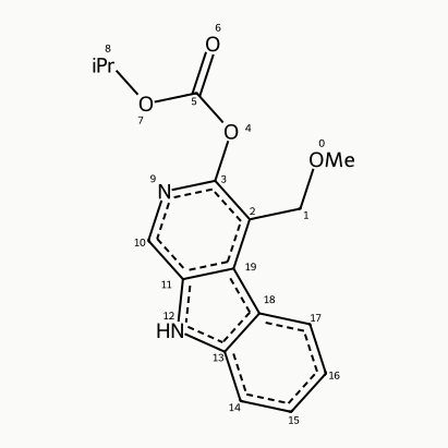 COCc1c(OC(=O)OC(C)C)ncc2[nH]c3ccccc3c12